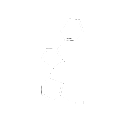 O=C(O)c1cccc(-n2ccc(-c3ccccc3)n2)c1